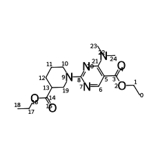 CCOC(=O)c1cnc(N2CCCC(C(=O)OCC)C2)nc1N(C)C